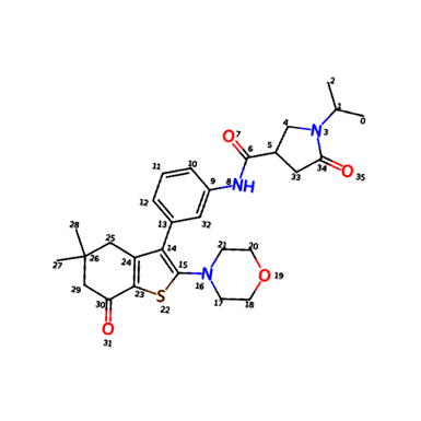 CC(C)N1CC(C(=O)Nc2cccc(-c3c(N4CCOCC4)sc4c3CC(C)(C)CC4=O)c2)CC1=O